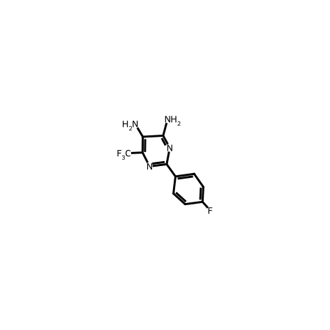 Nc1nc(-c2ccc(F)cc2)nc(C(F)(F)F)c1N